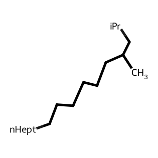 [CH2]C(C)CC(C)CCCCCCCCCCCCC